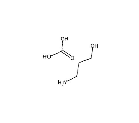 NCCCO.O=C(O)O